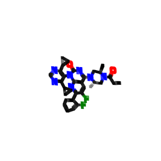 C=CC(=O)N1C[C@H](C)N(c2nc(=O)n(-c3c(C4CC4)ncnc3C3CC3)c3nc(-c4ccccc4F)c(F)cc23)C[C@H]1C